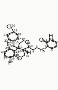 O=c1[nH]cccc1SCC[C@@H]1OCC[C@@]2(Cc3ccc(Cl)cc3)c3c(F)ccc(F)c3OC[C@@H]12